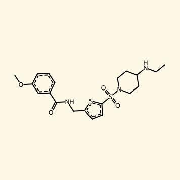 CCNC1CCN(S(=O)(=O)c2ccc(CNC(=O)c3cccc(OC)c3)s2)CC1